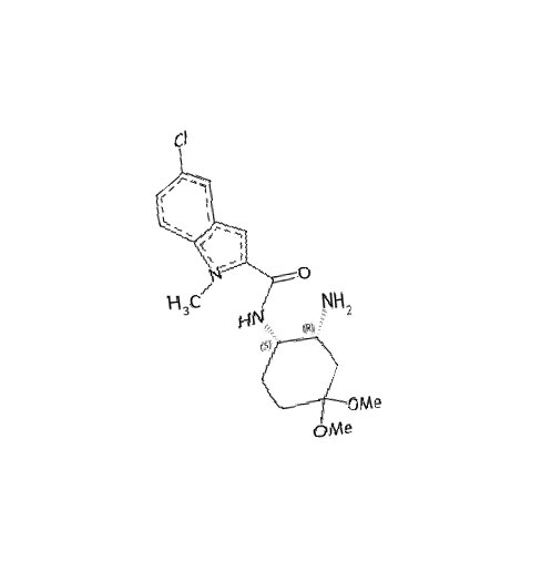 COC1(OC)CC[C@H](NC(=O)c2cc3cc(Cl)ccc3n2C)[C@H](N)C1